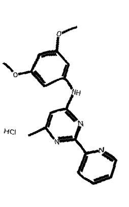 COc1cc(Nc2cc(C)nc(-c3ccccn3)n2)cc(OC)c1.Cl